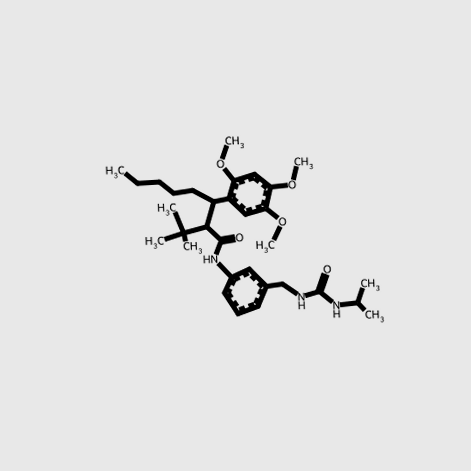 CCCCCC(c1cc(OC)c(OC)cc1OC)C(C(=O)Nc1cccc(CNC(=O)NC(C)C)c1)C(C)(C)C